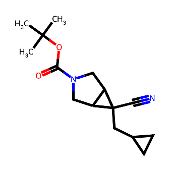 CC(C)(C)OC(=O)N1CC2C(C1)C2(C#N)CC1CC1